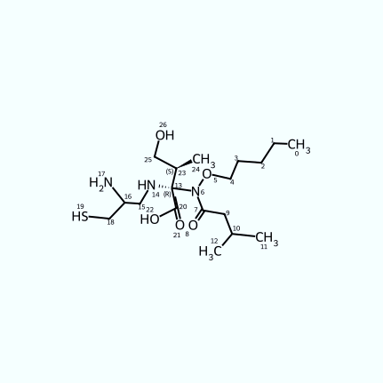 CCCCCON(C(=O)CC(C)C)[C@@](NCC(N)CS)(C(=O)O)[C@H](C)CO